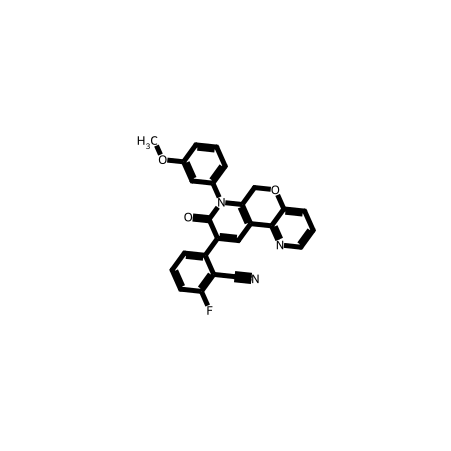 COc1cccc(-n2c3c(cc(-c4cccc(F)c4C#N)c2=O)-c2ncccc2OC3)c1